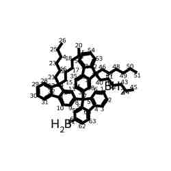 Bc1ccc2c(c1)C(c1ccc3c(c1)C(CCCCCC)(CCCCCC)c1ccccc1-3)(c1ccc3c(c1)C(CCCCCC)(CCCCCC)c1ccccc1-3)c1cc(B)ccc1-2